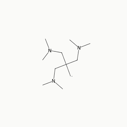 [CH2]C(CN(C)C)(CN(C)C)CN(C)C